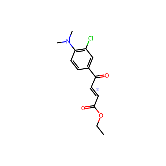 CCOC(=O)/C=C/C(=O)c1ccc(N(C)C)c(Cl)c1